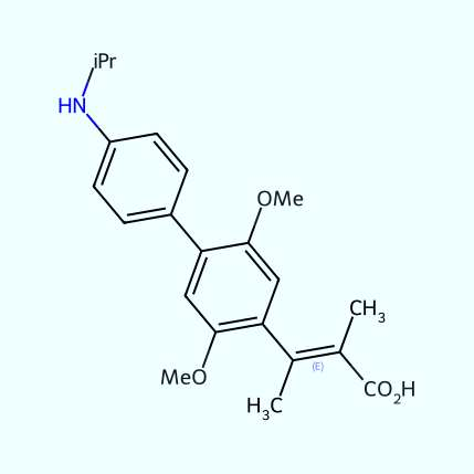 COc1cc(-c2ccc(NC(C)C)cc2)c(OC)cc1/C(C)=C(\C)C(=O)O